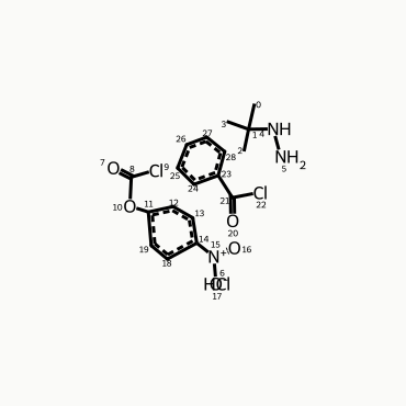 CC(C)(C)NN.Cl.O=C(Cl)Oc1ccc([N+](=O)[O-])cc1.O=C(Cl)c1ccccc1